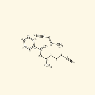 CC(CCCC#N)OC(=O)c1ccccc1.N#CC=CN